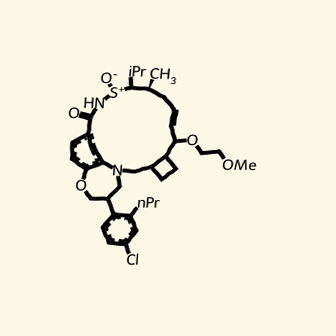 CCCc1cc(Cl)ccc1C1COc2ccc3cc2N(C1)CC1CCC1C(OCCOC)/C=C/C[C@H](C)C(C(C)C)[S+]([O-])NC3=O